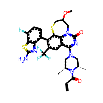 C=CC(=O)N1[C@H](C)CN(c2nc(=O)n3c4c(c(-c5ccc(F)c6sc(N)nc56)c(C(F)(F)F)cc24)SCC(OC)C3)C[C@@H]1C